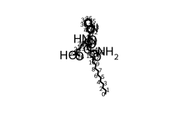 CCCCCCCCCCCCC[C@H](CC(N)=O)OC(=O)[C@@H](CCCC(=O)O)NC(=O)c1cnc2ccccc2c1